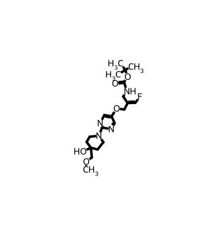 COCC1(O)CCN(c2ncc(OC/C(=C/F)CNC(=O)OC(C)(C)C)cn2)CC1